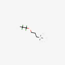 CO[Si](CCCOC(F)(F)C(F)(F)C(F)(F)F)(OC)OC